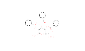 O=C(O[C@@H]1[C@@H](OC(=O)c2ccccc2)[C@@H](O)O[C@H](CO)[C@@H]1OC(=O)c1ccccc1)c1ccccc1